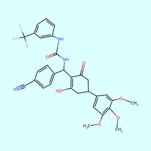 COc1cc(C2CC(=O)C(C(NC(=O)Nc3cccc(C(F)(F)F)c3)c3ccc(C#N)cc3)=C(O)C2)cc(OC)c1OC